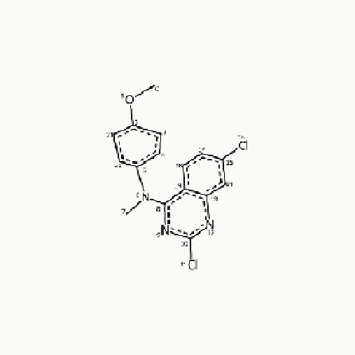 COc1ccc(N(C)c2nc(Cl)nc3cc(Cl)ccc23)cc1